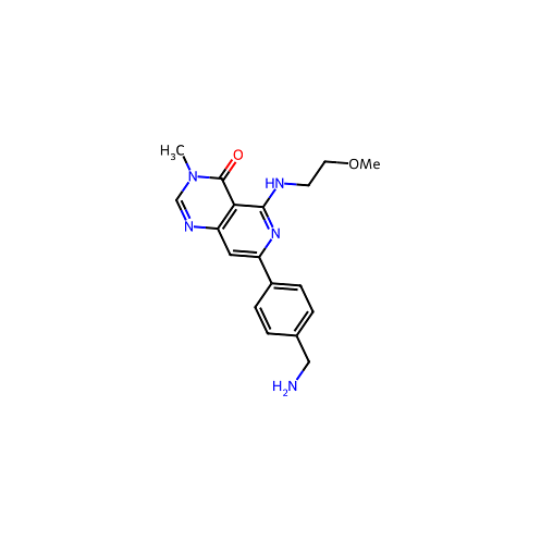 COCCNc1nc(-c2ccc(CN)cc2)cc2ncn(C)c(=O)c12